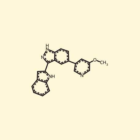 COc1cncc(-c2ccc3[nH]nc(-c4cc5ccccc5[nH]4)c3c2)c1